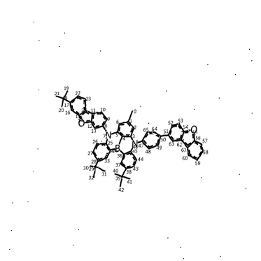 Cc1cc2c3c(c1)N(c1ccc4c(c1)oc1cc(C(C)(C)C)ccc14)c1ccc(C(C)(C)C)cc1B3c1cc(C(C)(C)C)ccc1N2c1ccc(-c2ccc3oc4ccccc4c3c2)cc1